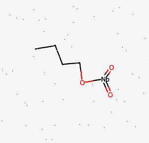 CCCC[O][Nb](=[O])=[O]